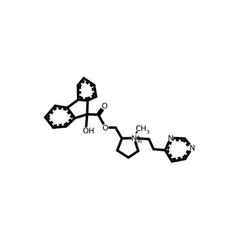 C[N@+]1(CCc2ccncn2)CCCC1COC(=O)C1(O)c2ccccc2-c2ccccc21